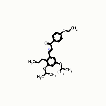 CCCc1c(/C=C/C(=O)c2ccc(OCC)cc2)cc(OC(C)C)cc1OC(C)C